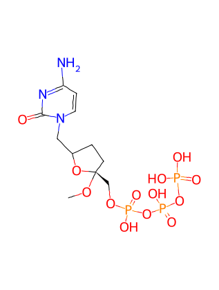 CO[C@@]1(COP(=O)(O)OP(=O)(O)OP(=O)(O)O)CCC(Cn2ccc(N)nc2=O)O1